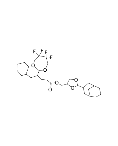 O=C(CCC(CC1CCCCC1)C1OCC(F)(F)C(F)(F)CO1)OCC1COC(C2CC3CCCC(C3)C2)O1